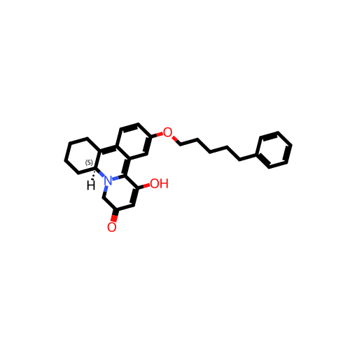 O=C1C=C(O)C2=c3cc(OCCCCCc4ccccc4)ccc3=C3CCCC[C@@H]3N2C1